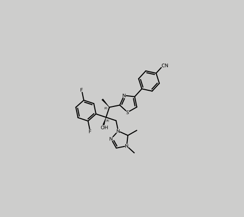 CC1N(C)C=NN1C[C@](O)(c1cc(F)ccc1F)[C@@H](C)c1nc(-c2ccc(C#N)cc2)cs1